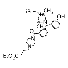 CCOC(=O)CCCN1CCN(C(=O)c2cccc(C(c3cccc(O)c3)N3C[C@@H](C)N(CC(C)CC)C[C@@H]3C)c2)CC1